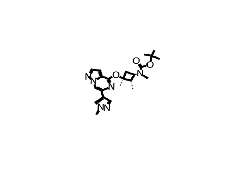 C[C@H]1[C@@H](N(C)C(=O)OC(C)(C)C)C[C@]1(C)Oc1nc(-c2cnn(C)c2)cn2nccc12